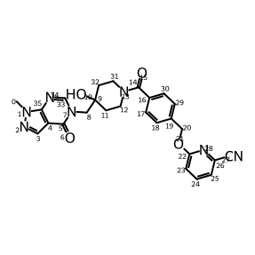 Cn1ncc2c(=O)n(CC3(O)CCN(C(=O)c4ccc(COc5cccc(C#N)n5)cc4)CC3)cnc21